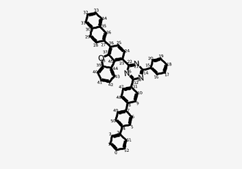 c1ccc(-c2ccc(-c3ccc(-c4nc(-c5ccccc5)nc(-c5ccc(-c6ccc7ccccc7c6)c6oc7ccccc7c56)n4)cc3)cc2)cc1